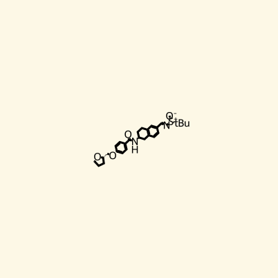 CC(C)(C)[S+]([O-])/N=C/c1ccc2c(c1)CC[C@H](NC(=O)c1ccc(OC[C@@H]3CCCO3)cc1)C2